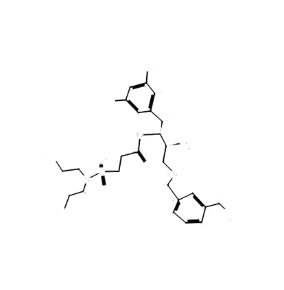 CCCN(CCC)S(=O)(=O)CCC(=O)N[C@@H](Cc1cc(F)cc(F)c1)[C@@H](O)CNCc1cccc(CC)c1